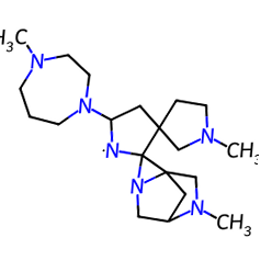 CN1CCCN(C2CC3(CCN(C)C3)C3([N]2)N2CC4CC23CN4C)CC1